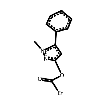 CCC(=O)Oc1cc(-c2ccccc2)n(C)n1